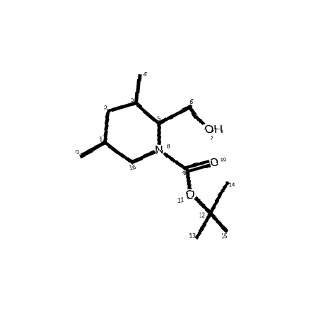 CC1CC(C)C(CO)N(C(=O)OC(C)(C)C)C1